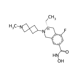 CC[C@@H]1Cc2c(F)cc(C(=O)NO)cc2CN1C1CC2(C1)CN(C)C2